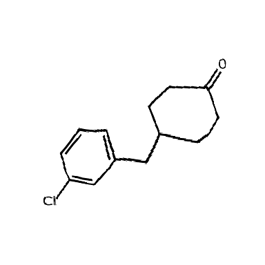 O=C1CCC(Cc2cccc(Cl)c2)CC1